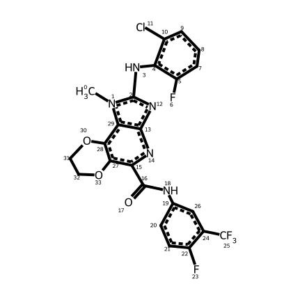 Cn1c(Nc2c(F)cccc2Cl)nc2nc(C(=O)Nc3ccc(F)c(C(F)(F)F)c3)c3c(c21)OCCO3